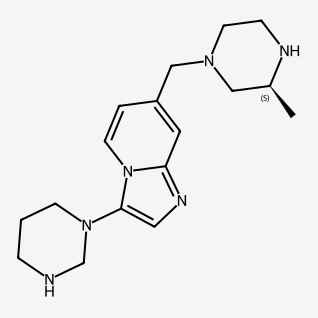 C[C@H]1CN(Cc2ccn3c(N4CCCNC4)cnc3c2)CCN1